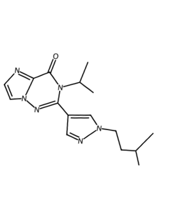 CC(C)CCn1cc(-c2nn3ccnc3c(=O)n2C(C)C)cn1